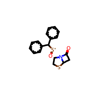 O=C1CC2SCCN12.O=[S+]C(c1ccccc1)c1ccccc1